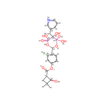 CC1(C)CC(C(=O)Oc2ccc(C3OP(=O)(O)C(O)(Cc4cccnc4)P(=O)(O)O3)c(F)c2)C1=O